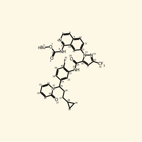 CCCCOC(=O)Nc1nccc2ccc(-n3nc(C(F)(F)F)cc3C(=O)Nc3cc(C(CCC4CC4)n4ccccc4=O)ccc3F)cc12